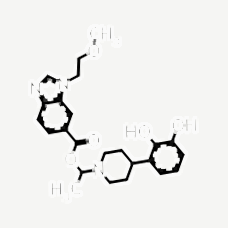 COCCn1cnc2ccc(C(=O)OC(C)N3CCC(c4cccc(O)c4O)CC3)cc21